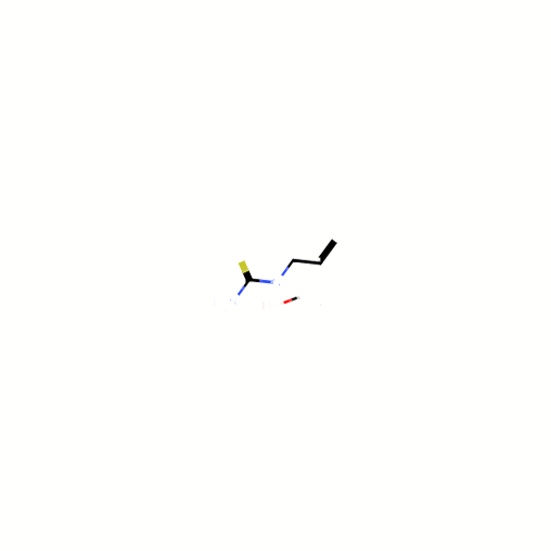 C=CCNC(N)=S.O=C(O)O